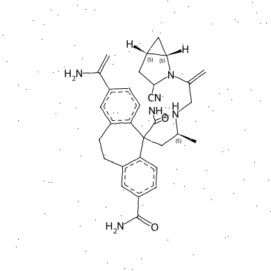 C=C(N)c1ccc2c(c1)CCc1cc(C(N)=O)ccc1C2(C[C@H](C)NCC(=C)N1C(C#N)C[C@@H]2C[C@@H]21)C(N)=O